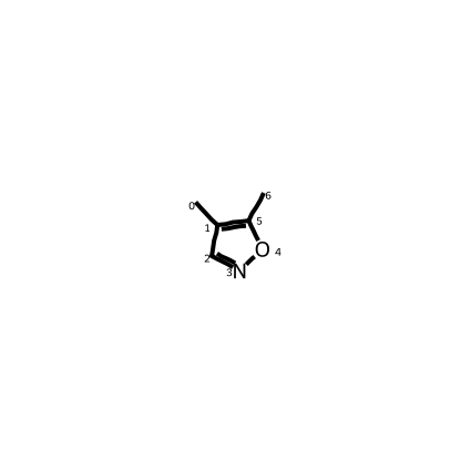 Cc1cnoc1C